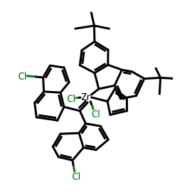 CC(C)(C)c1ccc2c(c1)-c1cc(C(C)(C)C)ccc1[CH]2[Zr]([Cl])([Cl])(=[C](c1cccc2c(Cl)cccc12)c1cccc2c(Cl)cccc12)[CH]1C=CC=C1